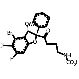 CO[C@H]1c2c(cc(F)c(Cl)c2Br)O[C@]1(C(=O)CCCNC(=O)O)c1ccccc1